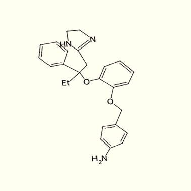 CCC(CC1=NCCN1)(Oc1ccccc1OCc1ccc(N)cc1)c1ccccc1